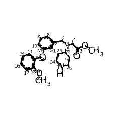 COC(=O)CN(Cc1cccc(Oc2ccccc2OC)c1)C1CCNCC1